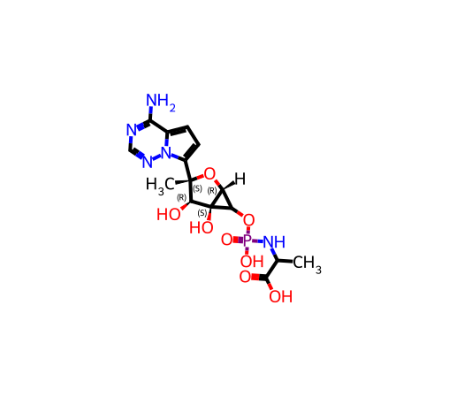 CC(NP(=O)(O)OC1[C@H]2O[C@@](C)(c3ccc4c(N)ncnn34)[C@H](O)[C@@]12O)C(=O)O